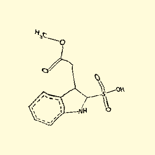 COC(=O)CC1c2ccccc2NC1S(=O)(=O)O